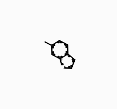 Clc1ccc2[c]csc2c1